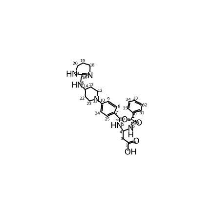 O=C(O)CC(NCc1ccc(N2CCC(NC3=NCCCN3)CC2)cc1)NS(=O)(=O)c1ccccc1